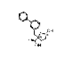 O=C(O)[C@@]1(Cc2cccc(-c3ccccc3)c2)CC[C@@H](O)C1